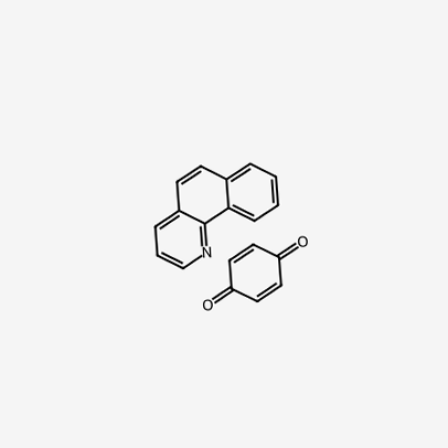 O=C1C=CC(=O)C=C1.c1ccc2c(c1)ccc1cccnc12